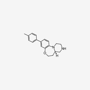 Cc1ccc(-c2ccc3c(c2)OCC[C@H]2CNCCN32)cc1